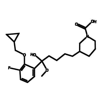 COC(O)(CCCCC1CCCN(C(=O)O)C1)c1cccc(F)c1OCC1CC1